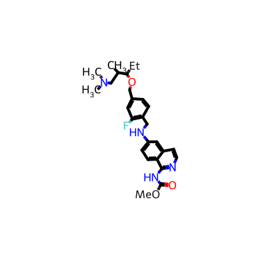 CCC(OCc1ccc(CNc2ccc3c(NC(=O)OC)nccc3c2)c(F)c1)C(C)CN(C)C